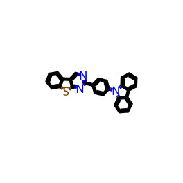 c1ccc2c(c1)sc1nc(-c3ccc(-n4c5ccccc5c5ccccc54)cc3)ncc12